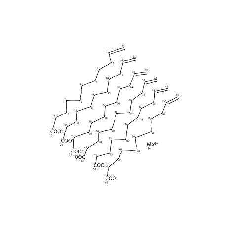 C=CCCCCCCCCC(=O)[O-].C=CCCCCCCCCC(=O)[O-].C=CCCCCCCCCC(=O)[O-].C=CCCCCCCCCC(=O)[O-].C=CCCCCCCCCC(=O)[O-].C=CCCCCCCCCC(=O)[O-].[Mo+6]